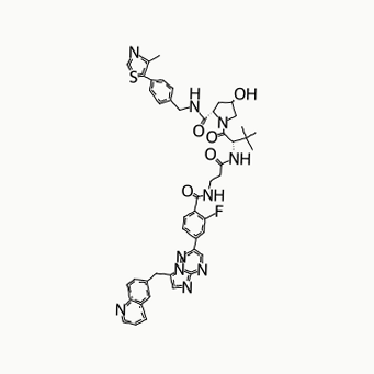 Cc1ncsc1-c1ccc(CNC(=O)[C@@H]2C[C@@H](O)CN2C(=O)[C@@H](NC(=O)CCNC(=O)c2ccc(-c3cnc4ncc(Cc5ccc6ncccc6c5)n4n3)cc2F)C(C)(C)C)cc1